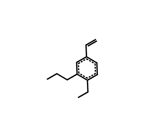 C=Cc1ccc(CC)c(CCC)c1